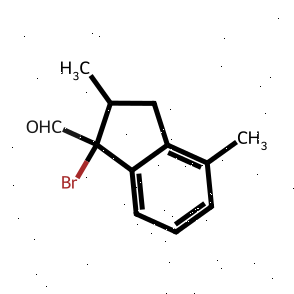 Cc1cccc2c1CC(C)C2(Br)C=O